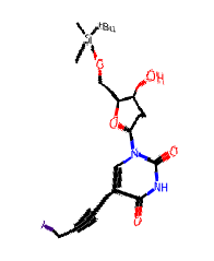 CC(C)(C)[Si](C)(C)OCC1OC(n2cc(C#CCI)c(=O)[nH]c2=O)CC1O